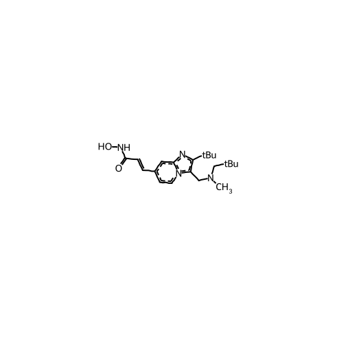 CN(Cc1c(C(C)(C)C)nc2cc(C=CC(=O)NO)ccn12)CC(C)(C)C